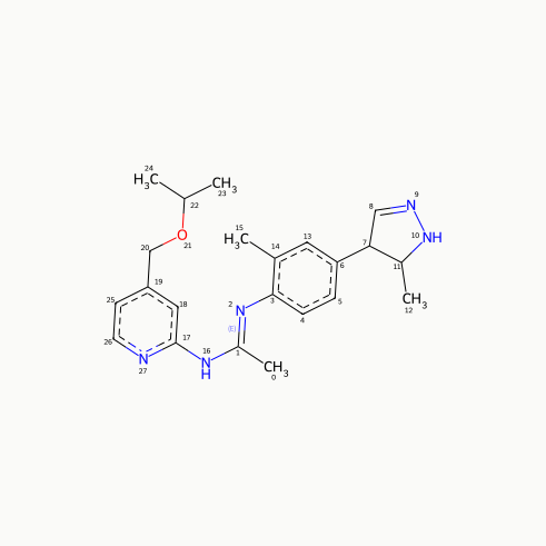 C/C(=N\c1ccc(C2C=NNC2C)cc1C)Nc1cc(COC(C)C)ccn1